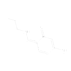 N=C1C=C(N)C=C/C1=C/NCCO